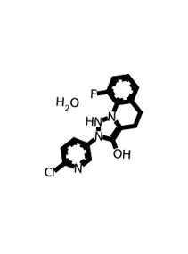 O.OC1=C2CCc3cccc(F)c3N2NN1c1ccc(Cl)nc1